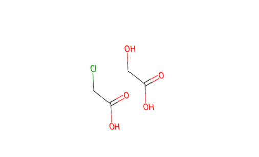 O=C(O)CCl.O=C(O)CO